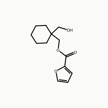 O=C(OCC1(CO)CCCCC1)c1ccco1